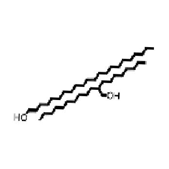 CCCCCCCCCCC(CO)CCCCCCCC.CCCCCCCCCCCCCCCCCCCC/C=C/O